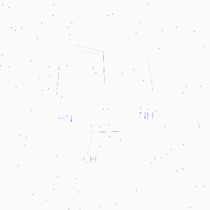 CC1CNCCC/C(I)=C/CCN1